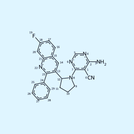 N#Cc1c(N)ncnc1N1CCCC1c1cc2ccc(F)cc2nc1-c1ccccc1